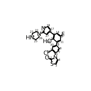 O=c1sccn1-c1ccc(-c2cc(F)cc(-c3ccnc(N4CCNCC4)c3)c2O)cc1Cl